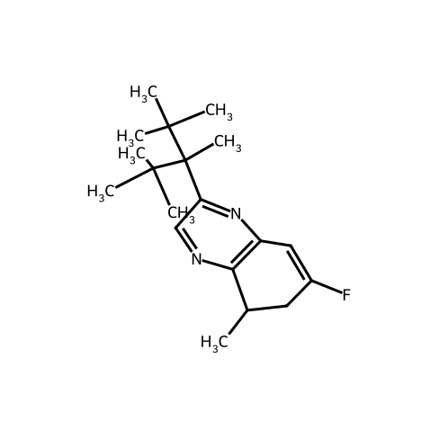 CC1CC(F)=Cc2nc(C(C)(C(C)(C)C)C(C)(C)C)cnc21